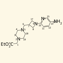 CCOC(=O)CN1CCN(CC2CN(c3ccc(N)cn3)C2)CC1